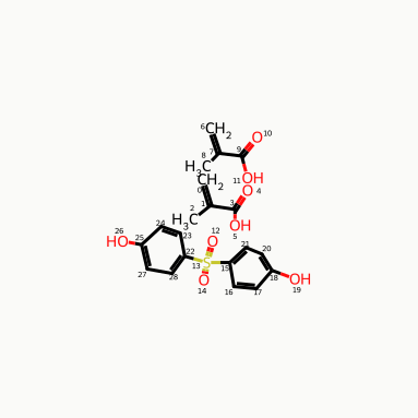 C=C(C)C(=O)O.C=C(C)C(=O)O.O=S(=O)(c1ccc(O)cc1)c1ccc(O)cc1